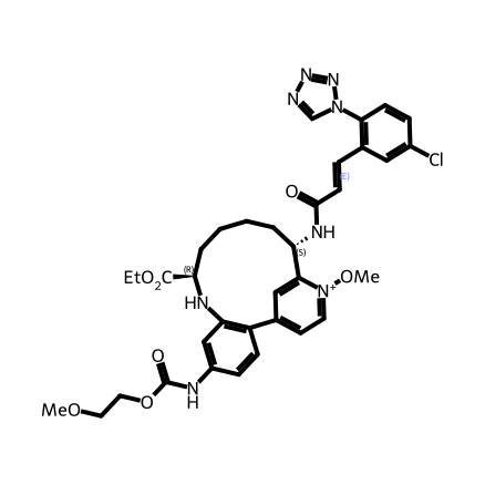 CCOC(=O)[C@H]1CCCC[C@H](NC(=O)/C=C/c2cc(Cl)ccc2-n2cnnn2)c2cc(cc[n+]2OC)-c2ccc(NC(=O)OCCOC)cc2N1